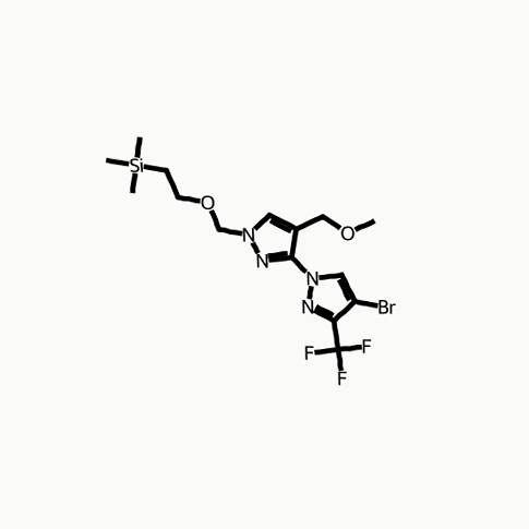 COCc1cn(COCC[Si](C)(C)C)nc1-n1cc(Br)c(C(F)(F)F)n1